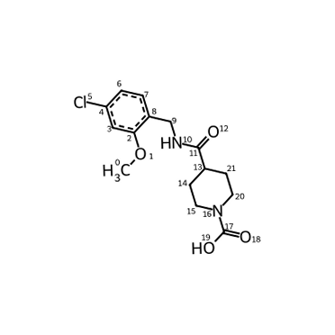 COc1cc(Cl)ccc1CNC(=O)C1CCN(C(=O)O)CC1